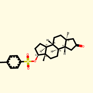 Cc1ccc(S(=O)(=O)O[C@H]2CC[C@H]3[C@@H]4CC[C@H]5CC(=O)C[C@@H]5[C@H]4CC[C@]23C)cc1